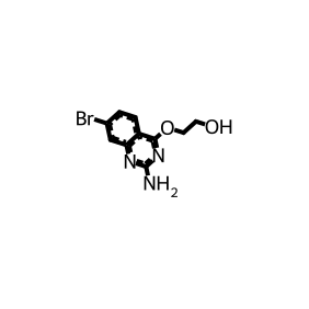 Nc1nc(OCCO)c2ccc(Br)cc2n1